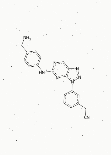 N#CCc1cccc(-n2nnc3cnc(Nc4ccc(CN)cc4)nc32)c1